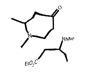 CC1CC(=O)CCN1C.CCOC(=O)CC(C)NC